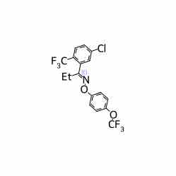 CC/C(=N\Oc1ccc(OC(F)(F)F)cc1)c1cc(Cl)ccc1C(F)(F)F